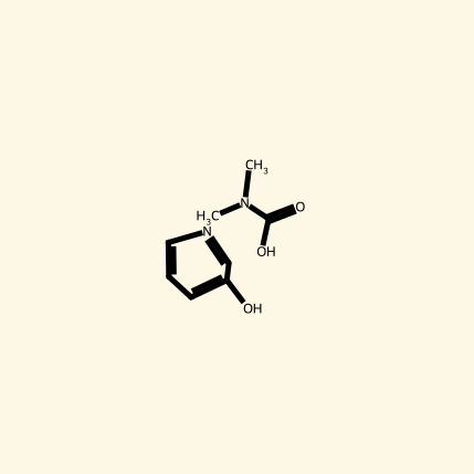 CN(C)C(=O)O.Oc1cccnc1